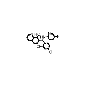 Oc1c(C(Nc2ccc(F)cn2)c2ccc(Cl)cc2Cl)ccc2cccnc12